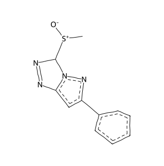 C[S+]([O-])C1N=Nc2cc(-c3ccccc3)nn21